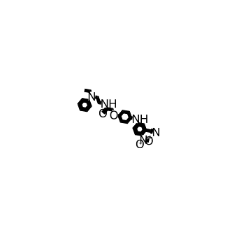 CCN(CCNC(=O)COC1CCC(Nc2ccc([N+](=O)[O-])c(C#N)c2)CC1)c1ccccc1